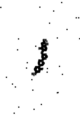 Cc1cc2c(F)c(Oc3cc(N4CCN(c5ccc(N)cc5F)CC4)ncn3)ccc2[nH]1